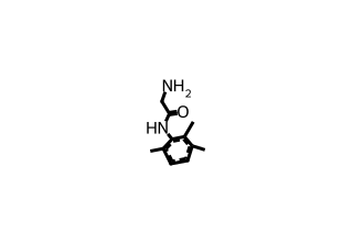 Cc1ccc(C)c(NC(=O)CN)c1C